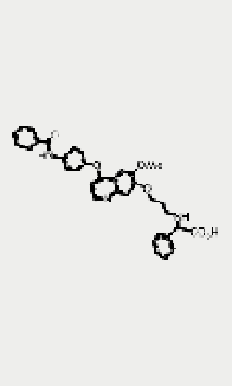 COc1cc2c(Oc3ccc(NC(=O)c4ccccc4)cc3)ccnc2cc1OCCCNC(C(=O)O)c1ccccc1